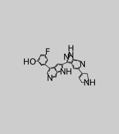 Oc1cc(F)cc(-c2cncc3[nH]c(-c4n[nH]c5cnc(C6=CCNCC6)cc45)cc23)c1